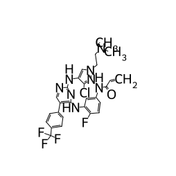 C=CC(=O)Nc1ccc(F)c(Nc2nc(Nc3cn(CCN(C)C)nc3Cl)ncc2-c2ccc(C(F)(F)F)cc2)c1